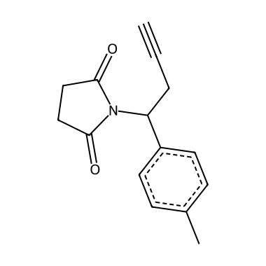 C#CCC(c1ccc(C)cc1)N1C(=O)CCC1=O